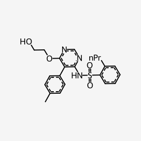 CCCc1ccccc1S(=O)(=O)Nc1ncnc(OCCO)c1-c1ccc(C)cc1